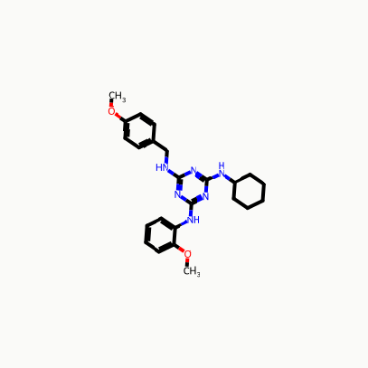 COc1ccc(CNc2nc(Nc3ccccc3OC)nc(NC3CCCCC3)n2)cc1